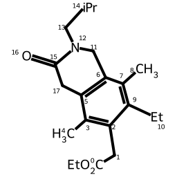 CCOC(=O)Cc1c(C)c2c(c(C)c1CC)CN(CC(C)C)C(=O)C2